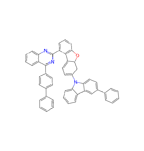 C1=C2c3c(cccc3-c3nc(-c4ccc(-c5ccccc5)cc4)c4ccccc4n3)OC2CC(n2c3ccccc3c3cc(-c4ccccc4)ccc32)=C1